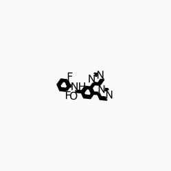 O=C(Nc1c(F)cccc1F)c1ccc(-c2ccncn2)c(-c2ccncn2)c1